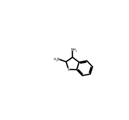 BC1Sc2ccccc2C1N